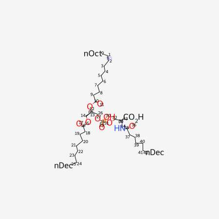 CCCCCCCC/C=C\CCCCCCCC(=O)O[C@H](COC(=O)CCCCCCCCCCCCCCCCC)COP(=O)(O)OC[C@H](NC(=O)CCCCCCCCCCCCCCC)C(=O)O